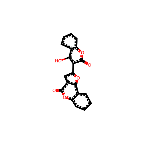 O=c1oc2ccccc2c(O)c1-c1cc2c(=O)oc3ccccc3c2o1